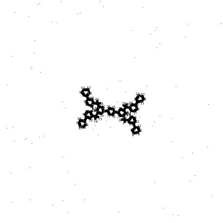 CC1(C)c2cc(-c3ccccc3)ccc2N2c3ccc(-c4ccccc4)cc3C(C)(C)c3cc(-c4ccc(-c5cc6c7c(c5)C(C)(C)c5cc(-c8ccccc8)ccc5N7c5ccc(-c7ccccc7)cc5C6(C)C)cc4)cc1c32